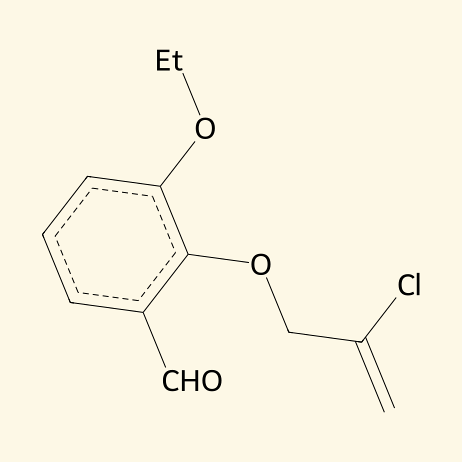 C=C(Cl)COc1c(C=O)cccc1OCC